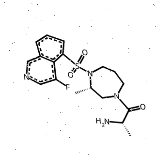 C[C@H](N)C(=O)N1CCCN(S(=O)(=O)c2cccc3cncc(F)c23)[C@@H](C)C1